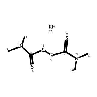 CN(C)C(=S)SSC(=S)N(C)C.[KH]